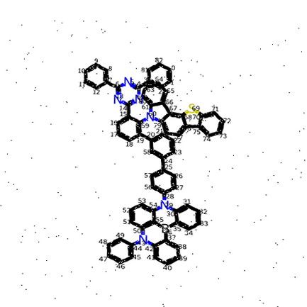 c1ccc(-c2nc(-c3ccccc3)nc(-c3cccc(-c4cccc(-c5ccc(N6c7ccccc7B7c8ccccc8N(c8ccccc8)c8cccc6c87)cc5)c4)c3-n3c4ccccc4c4c5sc6ccccc6c5ccc43)n2)cc1